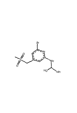 CCCC(O)Nc1cc(CS(C)(=O)=O)cc(Br)n1